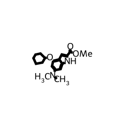 COC(=O)c1cc2c(OC3CCCCC3)cc(N(C)C)cc2[nH]1